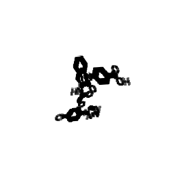 O=C(COc1cc(Cl)ccc1-n1cnnn1)N[C@@H](Cc1ccccc1)C(=O)Nc1ccc(C(=O)O)cc1